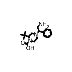 CC(C)(C)C1CN(C(CN)c2ccccc2)CCN1C(=O)O